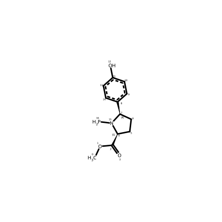 COC(=O)[C@@H]1CC[C@H](c2ccc(O)cc2)N1P